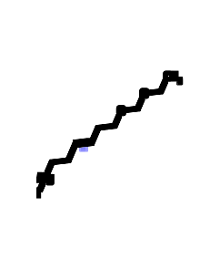 CCOCOCC/C=C/C[CH2][Mg][I]